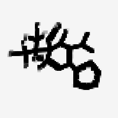 CC(C)C1=C(c2ccccc2)C=C(F)C(C=O)(C(O)(C(F)(F)F)C(F)(F)F)C1F